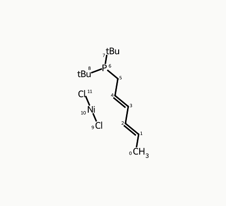 CC=CC=CCP(C(C)(C)C)C(C)(C)C.[Cl][Ni][Cl]